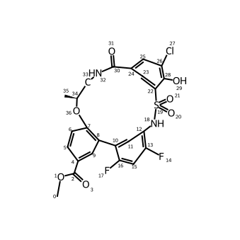 COC(=O)c1ccc2c(c1)-c1cc(c(F)cc1F)NS(=O)(=O)c1cc(cc(Cl)c1O)C(=O)NC[C@H](C)O2